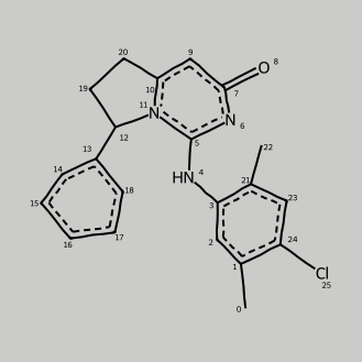 Cc1cc(Nc2nc(=O)cc3n2C(c2ccccc2)CC3)c(C)cc1Cl